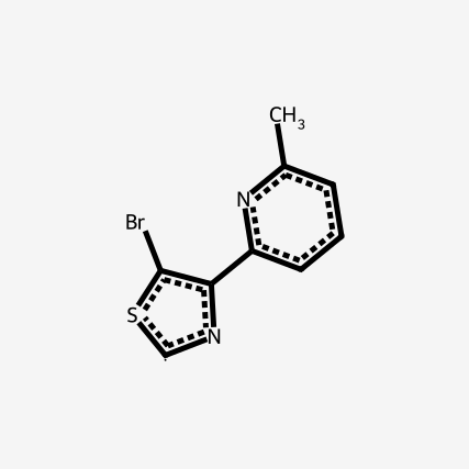 Cc1cccc(-c2n[c]sc2Br)n1